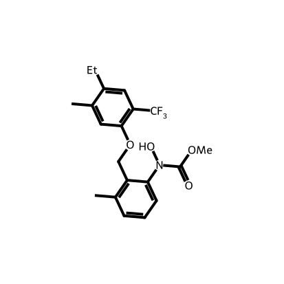 CCc1cc(C(F)(F)F)c(OCc2c(C)cccc2N(O)C(=O)OC)cc1C